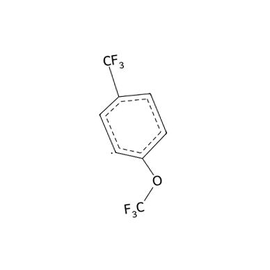 FC(F)(F)Oc1[c]cc(C(F)(F)F)cc1